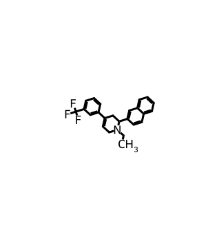 CCN1CC=C(c2cccc(C(F)(F)F)c2)CC1c1ccc2ccccc2c1